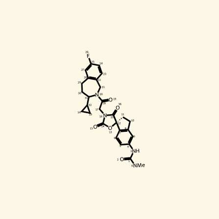 CNC(=O)Nc1ccc2c(c1)CC[C@@]21OC(=O)N(CC(=O)N2Cc3ccc(F)cc3CCC2C2CC2)C1=O